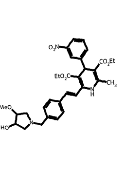 CCOC(=O)C1=C(C)NC(C=Cc2ccc(CN3CC(O)C(OC)C3)cc2)=C(C(=O)OCC)C1c1cccc([N+](=O)[O-])c1